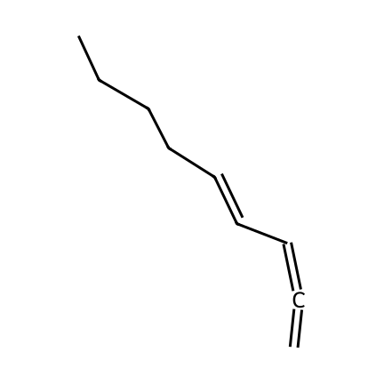 C=C=CC=CCCCC